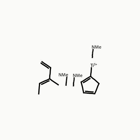 C=CC(C)=CC.C[N-]C.C[N-]C.C[N-]C.[Ti+3][C]1=CC=CC1